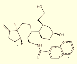 C=C1CC[C@H]2[C@H](CNC(=O)c3ccc4ccccc4c3)[C@@H]([C@@H]3CC[C@H](O)C[C@@H]3CCO)CC[C@]12C